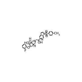 Cc1ccc(S(=O)(=O)n2ccc3cc([C@H](O)CN4C[C@H]5C[C@H](Oc6ccccc6F)[C@H](O)[C@@]5(O)C4)ncc32)cc1